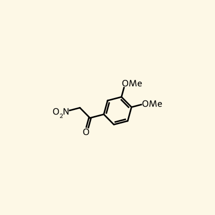 COc1ccc(C(=O)C[N+](=O)[O-])cc1OC